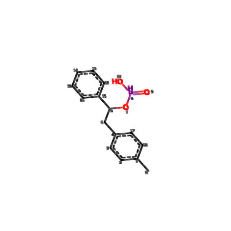 Cc1ccc(CC(O[PH](=O)O)c2ccccc2)cc1